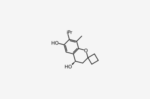 Cc1c2c(cc(O)c1C(C)C)[C@H](O)CC1(CCC1)O2